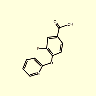 O=C(O)c1ccc(Oc2ccccn2)c(F)c1